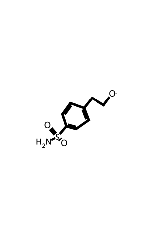 NS(=O)(=O)c1ccc(CC[O])cc1